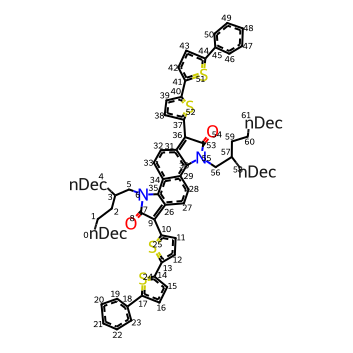 CCCCCCCCCCCCC(CCCCCCCCCC)CN1C(=O)C(c2ccc(-c3ccc(-c4ccccc4)s3)s2)=c2ccc3c4c(ccc3c21)=C(c1ccc(-c2ccc(-c3ccccc3)s2)s1)C(=O)N4CC(CCCCCCCCCC)CCCCCCCCCCCC